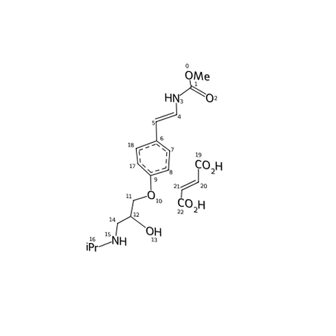 COC(=O)NC=Cc1ccc(OCC(O)CNC(C)C)cc1.O=C(O)/C=C/C(=O)O